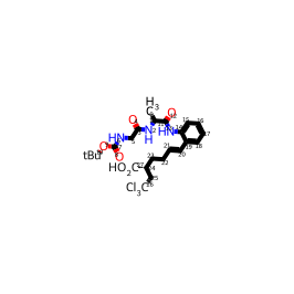 CC(NC(=O)CNC(=O)OC(C)(C)C)C(=O)Nc1ccccc1C=CCC[C@H](CC(Cl)(Cl)Cl)C(=O)O